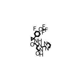 O=C(NC1(c2ccc(OC(F)(F)F)c(F)c2)CC1)c1cc(=O)[nH]c(-c2ncccn2)n1